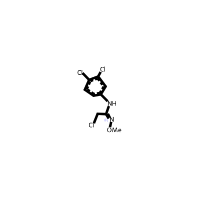 CO/N=C(\CCl)Nc1ccc(Cl)c(Cl)c1